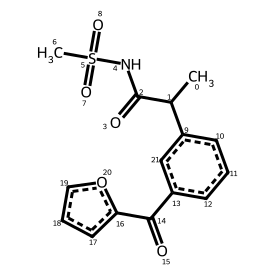 CC(C(=O)NS(C)(=O)=O)c1cccc(C(=O)c2ccco2)c1